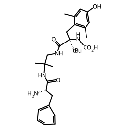 Cc1cc(O)cc(C)c1C[C@@](NC(=O)O)(C(=O)NCC(C)(C)NC(=O)[C@@H](N)Cc1ccccc1)C(C)(C)C